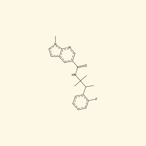 CC(c1ccccc1F)C(C)(C)NC(=O)c1cnc2c(ccn2C)c1